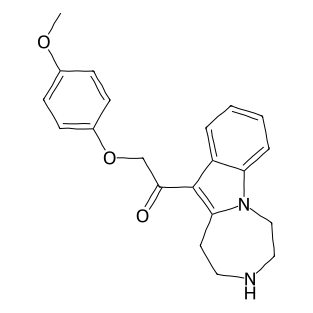 COc1ccc(OCC(=O)c2c3n(c4ccccc24)CCNCC3)cc1